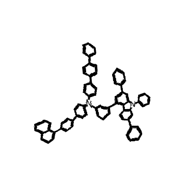 c1ccc(-c2ccc(-c3ccc(N(c4ccc(-c5ccc(-c6cccc7ccccc67)cc5)cc4)c4cccc(-c5cc(-c6ccccc6)cc6c5c5ccc(-c7ccccc7)cc5n6-c5ccccc5)c4)cc3)cc2)cc1